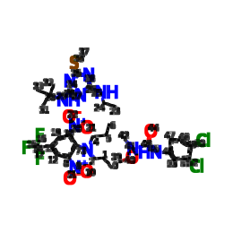 CCCN(CCC)c1c([N+](=O)[O-])cc(C(F)(F)F)cc1[N+](=O)[O-].CCNc1nc(NC(C)(C)C)nc(SC)n1.CON(C)C(=O)Nc1ccc(Cl)c(Cl)c1